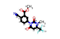 COC(=O)c1cc(-n2c(=O)cc(C(F)(F)F)n(C)c2=O)ccc1C#N